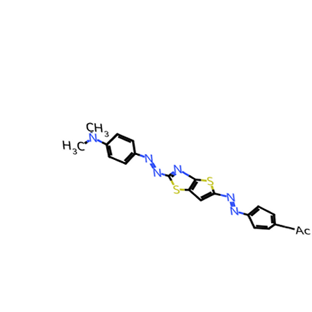 CC(=O)c1ccc(N=Nc2cc3sc(N=Nc4ccc(N(C)C)cc4)nc3s2)cc1